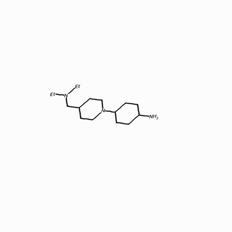 CCN(CC)CC1CCN(C2CCC(N)CC2)CC1